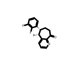 O=C1CC[C@@H](c2cccc(F)c2F)[C@@H](F)c2cccnc21